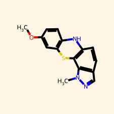 COc1ccc2c(c1)Sc1c(ccc3cnn(C)c13)N2